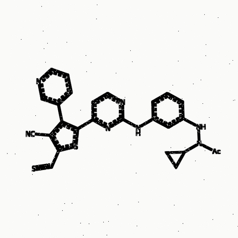 CC(=O)N(Nc1cccc(Nc2nccc(-c3sc(C=S)c(C#N)c3-c3cccnc3)n2)c1)C1CC1